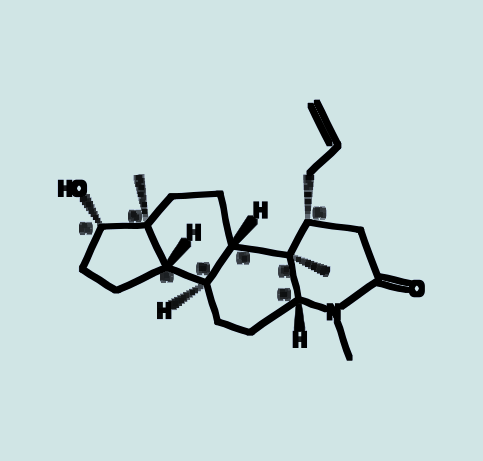 C=CC[C@@H]1CC(=O)N(C)[C@@H]2CC[C@H]3[C@@H]4CC[C@H](O)[C@@]4(C)CC[C@@H]3[C@@]12C